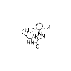 Cc1cccc(CI)c1-n1ncc2c(=O)[nH]c(CC3CCCC3)nc21